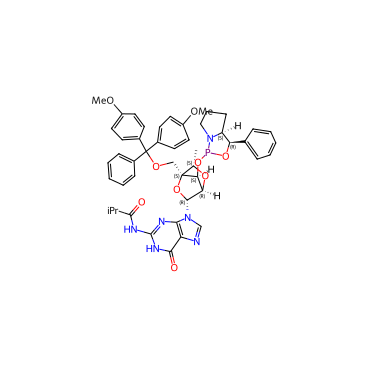 COc1ccc(C(OC[C@]23O[C@@H](n4cnc5c(=O)[nH]c(NC(=O)C(C)C)nc54)[C@H](O[C@H]2C)[C@@H]3OP2O[C@H](c3ccccc3)[C@@H]3CCCN32)(c2ccccc2)c2ccc(OC)cc2)cc1